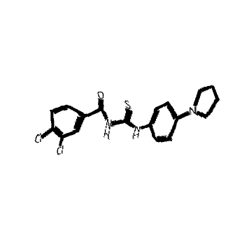 O=C(NC(=S)Nc1ccc(N2CCCC2)cc1)c1ccc(Cl)c(Cl)c1